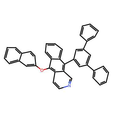 c1ccc(-c2cc(-c3ccccc3)cc(-c3c4ccccc4c(Oc4ccc5ccccc5c4)c4ccncc34)c2)cc1